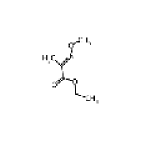 CCOC(=O)C(C)=NOC